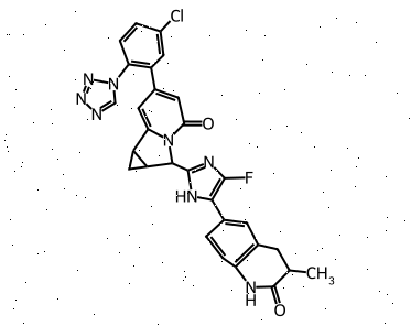 CC1Cc2cc(-c3[nH]c(C4C5CC5c5cc(-c6cc(Cl)ccc6-n6cnnn6)cc(=O)n54)nc3F)ccc2NC1=O